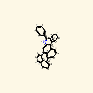 c1ccc(-c2nc3cc4c5cccc6cccc(c7cccc(c3c3c2C2CCC3C2)c74)c65)cc1